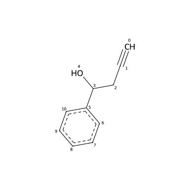 C#CCC(O)c1ccccc1